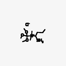 CCCC([SiH3])[N+](C)(C)C(OC)(OC)OC.[Cl-]